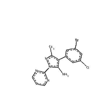 Nc1c(-c2cc(Cl)cc(Br)c2)c(C(F)(F)F)nn1-c1ncccn1